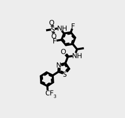 CC(NC(=O)c1csc(-c2cccc(C(F)(F)F)c2)n1)c1cc(F)c(NS(C)(=O)=O)c(F)c1